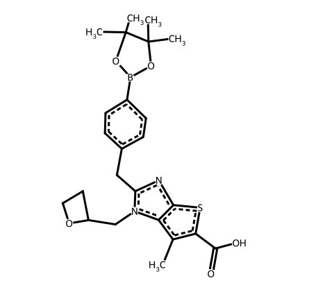 Cc1c(C(=O)O)sc2nc(Cc3ccc(B4OC(C)(C)C(C)(C)O4)cc3)n(CC3CCO3)c12